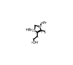 Br.CCCN1CSC(CCO)=C1C